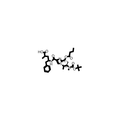 CCCC(=O)O[C@H](C[C@H](C(C)C)N(C)C(=O)OC(C)(C)C)c1nc(C(=O)NC(Cc2ccccc2)CC(C)C(=O)O)cs1